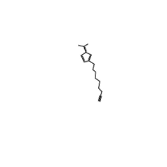 C#CCCCCCCCC1=CC(=C(C)C)C=C1